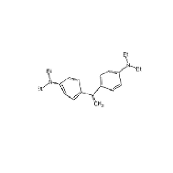 C=C(c1ccc(N(CC)CC)cc1)c1ccc(N(CC)CC)cc1